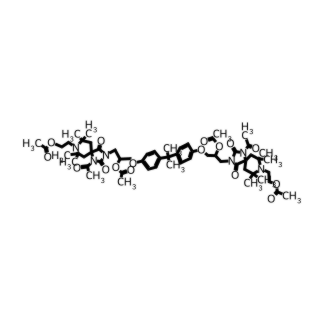 CC(=O)OCCN1C(C)(C)CC2(CC1(C)C)C(=O)N(CC(COc1ccc(C(C)(C)c3ccc(OCC(CN4C(=O)N(C(C)=O)C5(CC(C)(C)N(CCOC(C)=O)C(C)(C)C5)C4=O)OC(C)=O)cc3)cc1)OC(C)=O)C(=O)N2C(C)=O